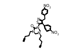 C#CCCCN1CN(CCCC#C)C(=O)N(c2snc(Cc3ccc([N+](=O)[O-])cc3)c2-c2ccc([N+](=O)[O-])cc2)C1